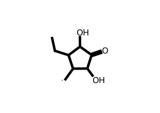 [CH2]C1C(O)C(=O)C(O)C1CC